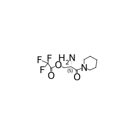 N[C@@H](COC(=O)C(F)(F)F)C(=O)N1CCCCC1